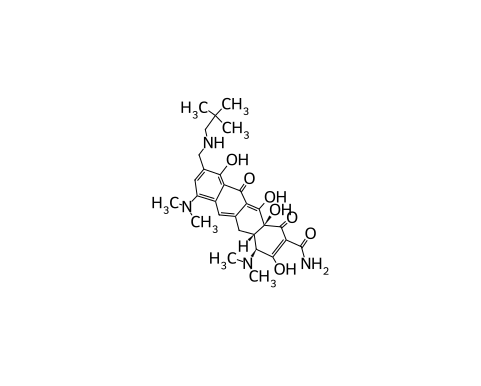 CN(C)c1cc(CNCC(C)(C)C)c(O)c2c1C=C1C[C@H]3[C@H](N(C)C)C(O)=C(C(N)=O)C(=O)[C@@]3(O)C(O)=C1C2=O